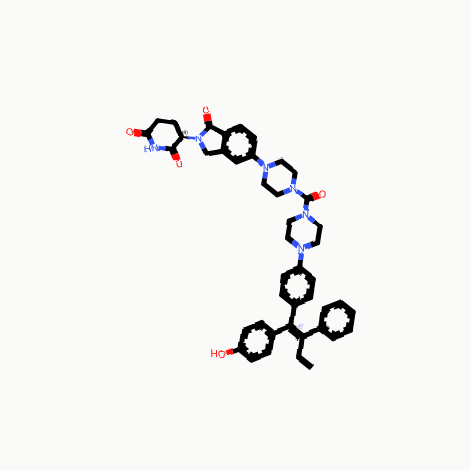 CC/C(=C(\c1ccc(O)cc1)c1ccc(N2CCN(C(=O)N3CCN(c4ccc5c(c4)CN([C@@H]4CCC(=O)NC4=O)C5=O)CC3)CC2)cc1)c1ccccc1